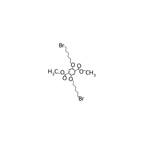 CCOC(=O)c1cc(OCCCCCCBr)c(C(=O)OCC)cc1OCCCCCCBr